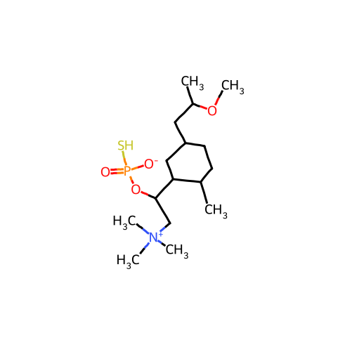 COC(C)CC1CCC(C)C(C(C[N+](C)(C)C)OP(=O)([O-])S)C1